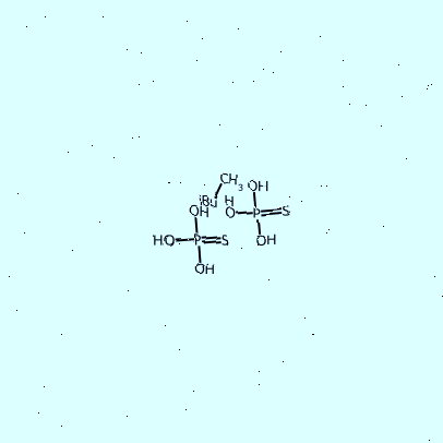 CCC(C)C.OP(O)(O)=S.OP(O)(O)=S